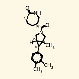 Cc1ccc([C@H]2[C@@H]3CN(C(=O)[C@@H]4CCOC(=O)NC4)C[C@@]32C)cc1C